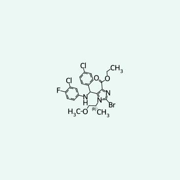 CCOC(=O)c1nc(Br)n([C@H](C)COC)c1C(Nc1ccc(F)c(Cl)c1)c1ccc(Cl)cc1